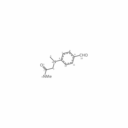 CNC(=O)CN(C)c1ccc(C=O)cc1